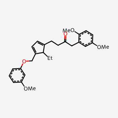 CCC1C(CCC(=O)Cc2cc(OC)ccc2OC)=CC=C1COc1cccc(OC)c1